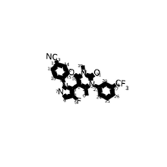 Cc1c(-c2c(F)cnn2-c2ccc(C#N)cc2)c(=O)n(C)c(=O)n1-c1cccc(C(F)(F)F)c1